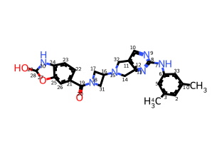 Cc1cc(C)cc(Nc2ncc3c(n2)CN(C2CN(C(=O)c4ccc5c(c4)OC(O)N5)C2)C3)c1